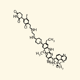 CCc1cc(Nc2ncc(Br)c(Nc3ccc4nccnc4c3P(C)(C)=O)n2)c(OC)cc1N1CCC(NCCNCCc2cc(F)c(C3CCC(=O)NC3=O)cc2Cl)CC1